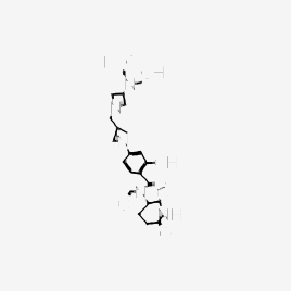 CCN(CC)C1CN(CC2CN(c3ccc(C(=O)N(C=O)C4CCC(=O)NC4=O)c(C)c3)C2)C1